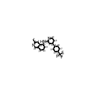 Cc1cc2c(Nc3cc(-c4ccc(C(F)(F)F)cc4)ccn3)cccc2cn1